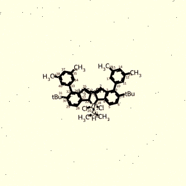 CC1=Cc2c(ccc(C(C)(C)C)c2-c2cc(C)cc(C)c2)[CH]1[Zr]([Cl])([Cl])([CH]1C(C)=Cc2c1ccc(C(C)(C)C)c2-c1cc(C)cc(C)c1)[SiH](C)C